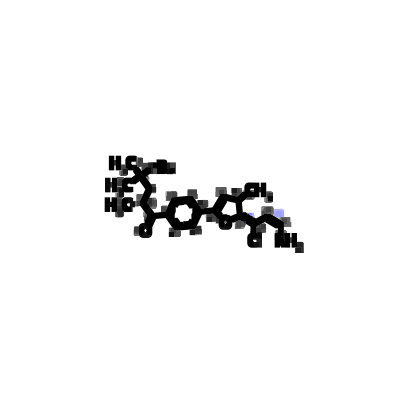 CCCCC(C)(C)C[C@@H](C)C(=O)c1ccc(C2=CC(C)/C(=C(Cl)\C=C/N)O2)cc1